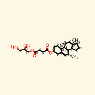 C[C@@H]1C=C2C[C@@H](OC(=O)CCC(=O)OCC(O)CO)CC[C@]2(C)C2CC[C@]3(C)CCCC3C21